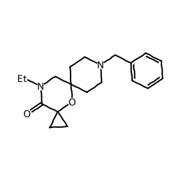 CCN1CC2(CCN(Cc3ccccc3)CC2)OC2(CC2)C1=O